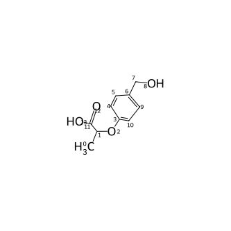 CC(Oc1ccc(CO)cc1)C(=O)O